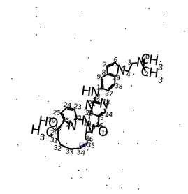 CN(C)CCn1ccc2cc(Nc3ncc4c(=O)n5n(c4n3)-c3cccc(n3)C(C)(O)CCC/C=C\C5)ccc21